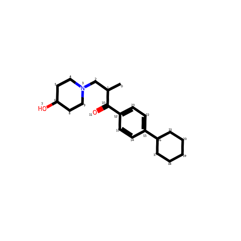 CC(CN1CCC(O)CC1)C(=O)c1ccc(C2CCCCC2)cc1